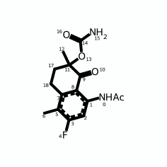 CC(=O)Nc1cc(F)c(C)c2c1C(=O)C(C)(OC(N)=O)CC2